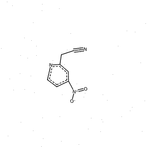 N#CCc1cc([N+](=O)[O-])ccn1